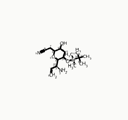 C=C[C@H](N)C1OC(CC#N)C(O)CC1O[Si](C)(C)C(C)(C)C